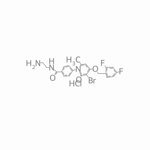 Cc1cc(OCc2ccc(F)cc2F)c(Br)c(=O)n1-c1ccc(C(=O)NCCN)cc1.Cl